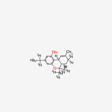 [2H]C1([2H])C[C@@H]2[C@@H](C=C1C)c1c(O)cc(C([2H])([2H])CCCC)cc1OC2(C([2H])([2H])[2H])C([2H])([2H])[2H]